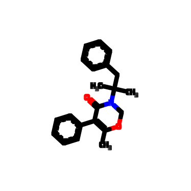 CC1=C(c2ccccc2)C(=O)N(C(C)(C)Cc2ccccc2)CO1